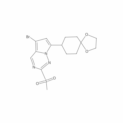 CS(=O)(=O)c1ncc2c(Br)cc(C3CCC4(CC3)OCCO4)n2n1